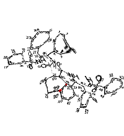 O=C(N[C@H](c1ccccc1)[C@H](NS(=O)(=O)c1ccccc1)c1ccccc1)[C@H]1CCCC[C@@H]1C(=O)N[C@H](c1ccccc1)[C@H](NS(=O)(=O)c1ccccc1)c1ccccc1